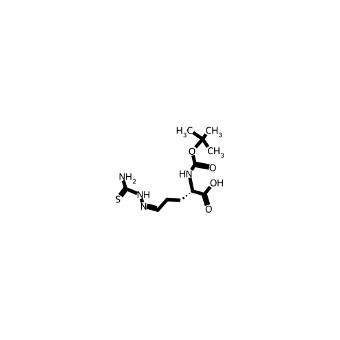 CC(C)(C)OC(=O)N[C@@H](CC/C=N\NC(N)=S)C(=O)O